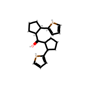 O=C(C1CCCC1c1cccs1)C1CCCC1c1cccs1